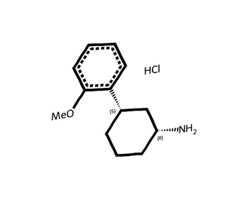 COc1ccccc1[C@H]1CCC[C@@H](N)C1.Cl